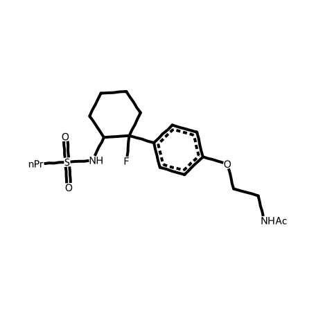 CCCS(=O)(=O)NC1CCCCC1(F)c1ccc(OCCNC(C)=O)cc1